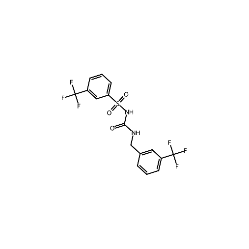 O=C(NCc1cccc(C(F)(F)F)c1)NS(=O)(=O)c1cccc(C(F)(F)F)c1